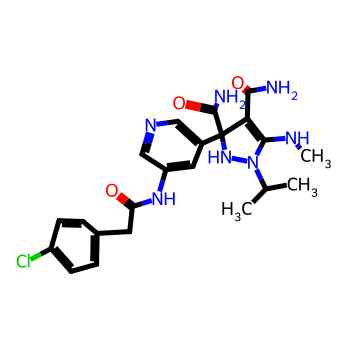 CNC1=C(C(N)=O)C(C(N)=O)(c2cncc(NC(=O)Cc3ccc(Cl)cc3)c2)NN1C(C)C